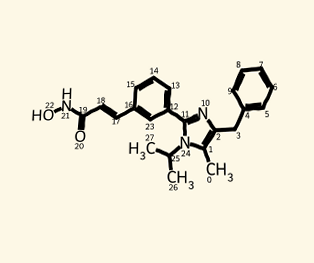 Cc1c(Cc2ccccc2)nc(-c2cccc(C=CC(=O)NO)c2)n1C(C)C